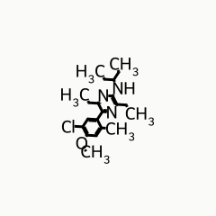 CCc1nc(-c2cc(Cl)c(OC)cc2C)c(CC)nc1NC(CC)CC